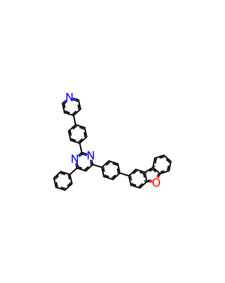 c1ccc(-c2cc(-c3ccc(-c4ccc5oc6ccccc6c5c4)cc3)nc(-c3ccc(-c4ccncc4)cc3)n2)cc1